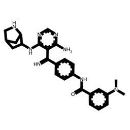 CN(C)c1cccc(C(=O)Nc2ccc(C(=N)c3c(N)ncnc3NC3CC4CNC3C4)cc2)c1